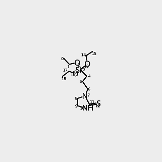 CCO[Si](CCCN1CCNC1=S)(OCC)OCC